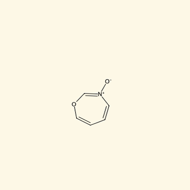 [O-][N+]1=COC=CC=C1